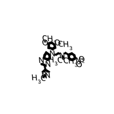 COc1cc(OC)cc(N(CCN(Cc2ccc([N+](=O)[O-])cc2)C(C)C)c2ccc3ncc(-c4cnn(C)c4)nc3c2)c1